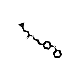 O=C(CCC1CC1)OCC=Cc1ccc(Oc2ccccc2)cc1